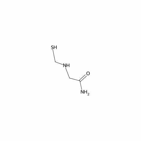 NC(=O)CNCS